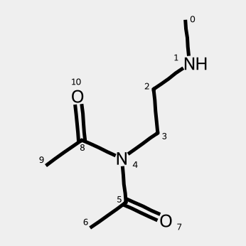 CNCCN(C(C)=O)C(C)=O